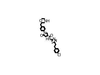 O=C(Nc1nnc(CCc2ccc(Cl)cc2)s1)[C@@H]1CC(=O)N(c2ccc(CC3CNCCO3)cc2)C1